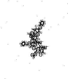 CC(=O)OCC1OC(OC(C)=O)C(N=[N+]=[N-])[C@@H](C)[C@@H]1O[C@@H]1OC(C)[C@@H](O[C@@H]2OC(COC(C)=O)[C@@H](O[C@@H]3OC(C)[C@@H](C)[C@@H](OCc4ccccc4)C3C)[C@H](C)C2N=[N+]=[N-])[C@@H](OCc2ccccc2)C1C